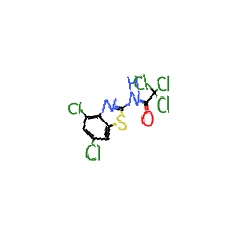 O=C(Nc1nc2c(Cl)cc(Cl)cc2s1)C(Cl)(Cl)Cl